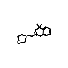 CC1(C)CN(CCN2CCOCC2)[C]c2ccccc21